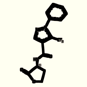 O=C(N[C@H]1CCOC1=O)c1cnn(-c2ccccc2)c1C(F)(F)F